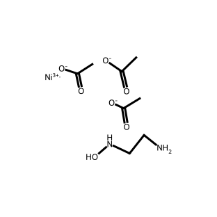 CC(=O)[O-].CC(=O)[O-].CC(=O)[O-].NCCNO.[Ni+3]